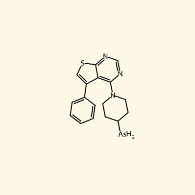 [AsH2]C1CCN(c2ncnc3scc(-c4ccccc4)c23)CC1